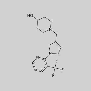 OC1CCN(CC2CCN(c3ncccc3C(F)(F)F)C2)CC1